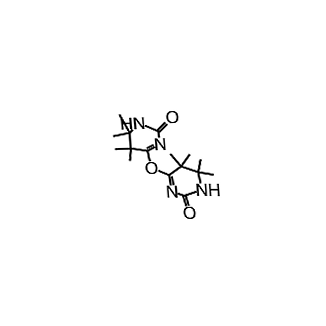 CC1(C)NC(=O)N=C(OC2=NC(=O)NC(C)(C)C2(C)C)C1(C)C